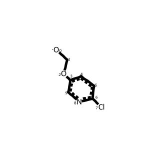 [O]COc1ccc(Cl)nc1